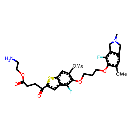 COc1cc2c(c(F)c1OCCCOc1c(OC)cc3sc(C(=O)CCC(=O)OCCN)cc3c1F)CN(C)C2